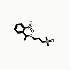 CC(OCCC[Si](C)(C)Cl)c1ccccc1[N+](=O)[O-]